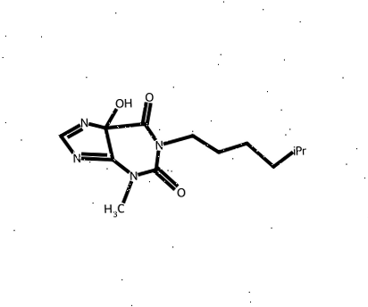 CC(C)CCCCN1C(=O)N(C)C2=NC=NC2(O)C1=O